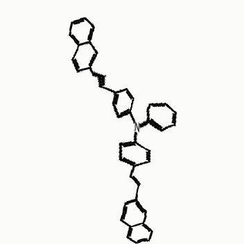 C(=C\c1ccc2ccccc2c1)/c1ccc(N(c2ccccc2)c2ccc(/C=C/c3ccc4ccccc4c3)cc2)cc1